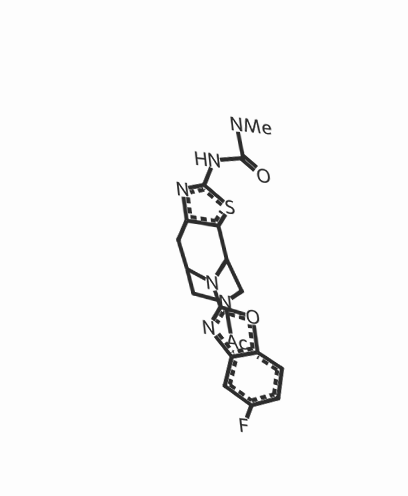 CNC(=O)Nc1nc2c(s1)C1CN(C(C)=O)CC(C2)N1c1nc2cc(F)ccc2o1